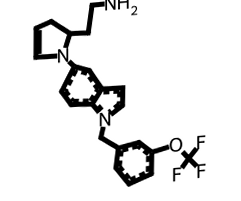 NCCC1CC=CN1c1ccc2c(ccn2Cc2cccc(OC(F)(F)F)c2)c1